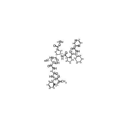 CCC[C@H](NC(=O)[C@@H]1CN(C(=O)OC(C)(C)C)C[C@@H]1NC(=O)[C@@H]1CCCN1C(=O)[C@@H](NC(=O)c1cnccn1)C1CCCCC1)C(O)C(=O)NCC(=O)N[C@H](C(=O)N(C)C)c1ccccc1